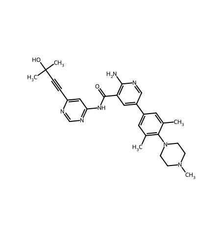 Cc1cc(-c2cnc(N)c(C(=O)Nc3cc(C#CC(C)(C)O)ncn3)c2)cc(C)c1N1CCN(C)CC1